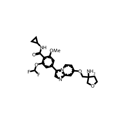 COc1cc(-c2cnc3cc(OCC4(N)CCOC4)ccn23)cc(OC(F)F)c1C(=O)NC1CC1